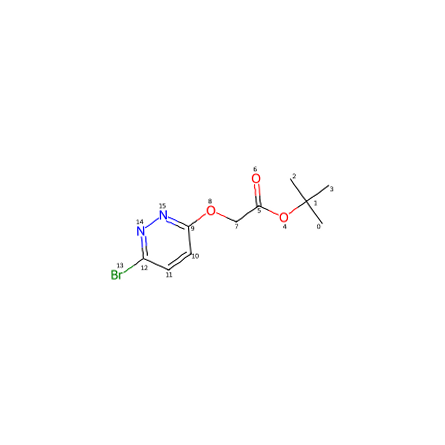 CC(C)(C)OC(=O)COc1ccc(Br)nn1